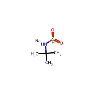 CC(C)(C)N[SH](=O)=O.[Na]